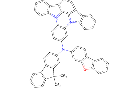 CC1(C)c2ccccc2-c2ccc(N(c3ccc4c(c3)oc3ccccc34)c3ccc4c(c3)n3c5ccccc5c5ccc6c7ccccc7n4c6c53)cc21